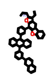 C=Cc1c(/C=C\C)oc2c(-c3cccc(-c4c5ccccc5c(-c5cccc(-c6ccc7ccccc7c6)c5)c5ccccc45)c3)c3oc4ccccc4c3cc12